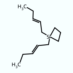 CC/C=C/C[Si]1(C/C=C/CC)CCC1